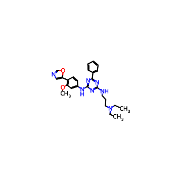 CCN(CC)CCCNc1nc(Nc2ccc(-c3cnco3)c(OC)c2)nc(-c2ccccc2)n1